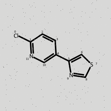 Clc1ccc(-c2cscn2)cn1